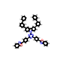 c1ccc(-c2cccc(-c3ccc4c(c3)c3cc(-c5cccc(-c6ccccc6)c5)ccc3n4-c3nc(-c4ccc(-c5nc6ccccc6o5)cc4)nc(-c4ccc(-c5nc6ccccc6o5)cc4)n3)c2)cc1